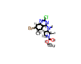 C[C@@H]1C(N(C)c2nc(Cl)nc3cc(Br)c(C(F)(F)F)cc23)CCN1C(=O)OC(C)(C)C